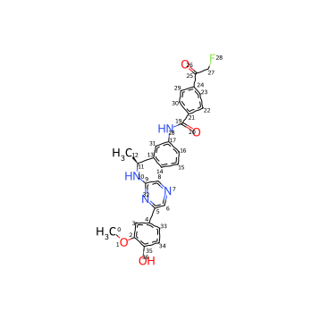 COc1cc(-c2cncc(N[C@@H](C)c3cccc(NC(=O)c4ccc(C(=O)CF)cc4)c3)n2)ccc1O